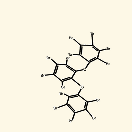 Brc1c(Br)c(Br)c(Oc2c(Br)c(Br)c(Br)c(Br)c2Oc2c(Br)c(Br)c(Br)c(Br)c2Br)c(Br)c1Br